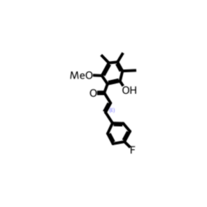 COc1c(C)c(C)c(C)c(O)c1C(=O)/C=C/c1ccc(F)cc1